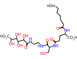 CCCCCCCCCCCCCCCC(=O)NC(CCC(=O)NC(CO)C(=O)NCCNC(=O)C(O)C(O)C(O)C(O)C(=O)O)C(=O)O